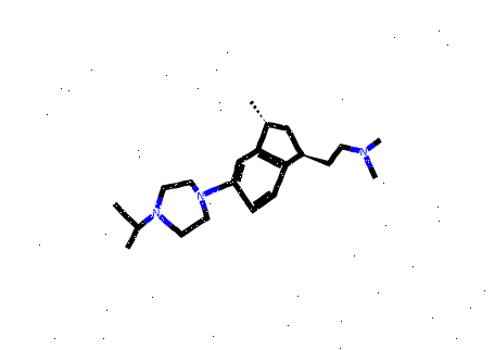 CC(C)N1CCN(c2ccc3c(c2)[C@H](C)C[C@H]3CCN(C)C)CC1